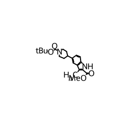 COC(=O)c1[nH]c2ccc(C3CCN(C(=O)OC(C)(C)C)CC3)cc2c1C